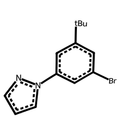 CC(C)(C)c1cc(Br)cc(-n2cccn2)c1